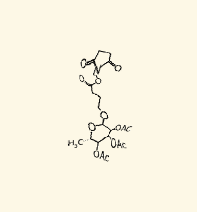 CC(=O)OC1C(OC(C)=O)[C@H](C)OC(OCCCC(=O)ON2C(=O)CCC2=O)[C@H]1OC(C)=O